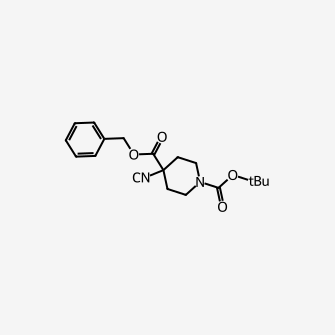 [C-]#[N+]C1(C(=O)OCc2ccccc2)CCN(C(=O)OC(C)(C)C)CC1